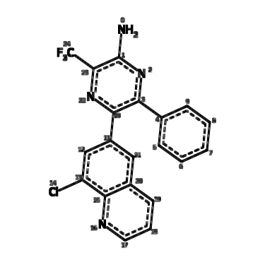 Nc1nc(-c2ccccc2)c(-c2cc(Cl)c3ncccc3c2)nc1C(F)(F)F